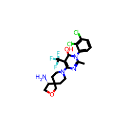 CC1=NC(N2CCC3(CC2)COC[C@@H]3N)=C(C(F)(F)F)C(O)N1c1cccc(Cl)c1Cl